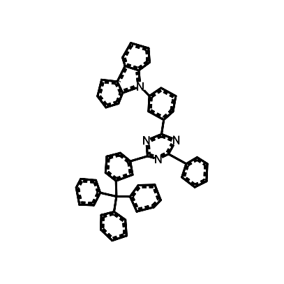 c1ccc(-c2nc(-c3cccc(-n4c5ccccc5c5ccccc54)c3)nc(-c3cccc(C(c4ccccc4)(c4ccccc4)c4ccccc4)c3)n2)cc1